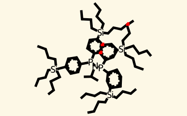 CCCC[Si](CCCC)(CCCC)c1ccc(P(c2ccc([Si](CCCC)(CCCC)CCCC)cc2)N(C(C)C)P(c2cccc([Si](CCCC)(CCCC)CCCC)c2)c2cccc([Si](CCCC)(CCCC)CCCC)c2)cc1